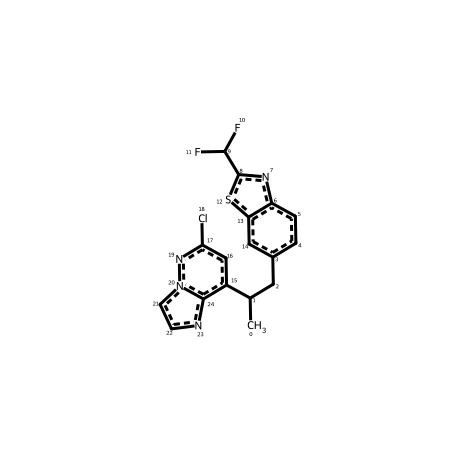 CC(Cc1ccc2nc(C(F)F)sc2c1)c1cc(Cl)nn2ccnc12